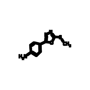 CSc1nnc(-c2ccc(N)cc2)o1